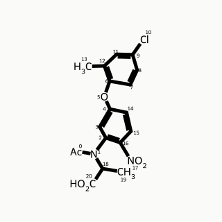 CC(=O)N(c1cc(Oc2ccc(Cl)cc2C)ccc1[N+](=O)[O-])C(C)C(=O)O